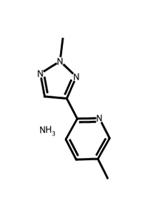 Cc1ccc(-c2cnn(C)n2)nc1.N